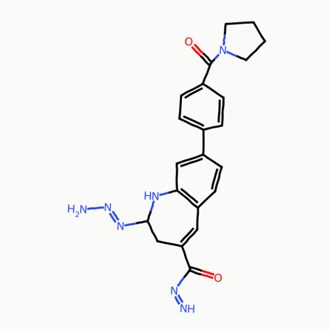 N=NC(=O)C1=Cc2ccc(-c3ccc(C(=O)N4CCCC4)cc3)cc2NC(N=NN)C1